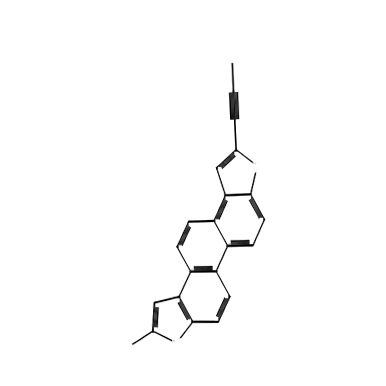 CC#Cc1cc2c(ccc3c2ccc2c4cc(C)sc4ccc23)s1